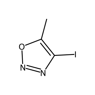 Cc1onnc1I